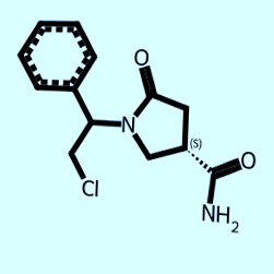 NC(=O)[C@H]1CC(=O)N(C(CCl)c2ccccc2)C1